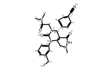 CN1CC2=C(C(=O)N1)[C@@H](c1ccc(C#N)cc1)N(CC(=O)N(C)C)C(=O)N2c1cccc(CF)c1